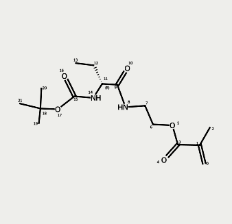 C=C(C)C(=O)OCCNC(=O)[C@@H](CC)NC(=O)OC(C)(C)C